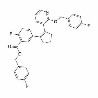 O=C(OCc1ccc(F)cc1)c1cc(C2=C(c3cccnc3OCc3ccc(F)cc3)CCC2)ccc1F